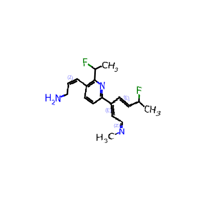 C\N=C/C=C(\C=C\C(C)F)c1ccc(/C=C\CN)c(C(C)F)n1